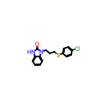 O=c1[nH]c2ccccc2n1CCCSc1ccc(Cl)cc1